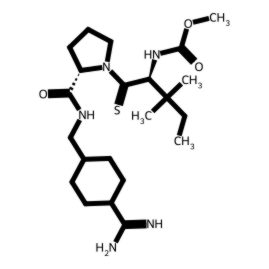 CCC(C)(C)[C@H](NC(=O)OC)C(=S)N1CCC[C@H]1C(=O)NCC1CCC(C(=N)N)CC1